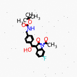 CC(=O)N1C(=O)/C(=C(/O)c2ccc(CNC(=O)OC(C)(C)C)cc2)c2ccc(F)cc21